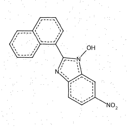 O=[N+]([O-])c1ccc2nc(-c3cccc4ccccc34)n(O)c2c1